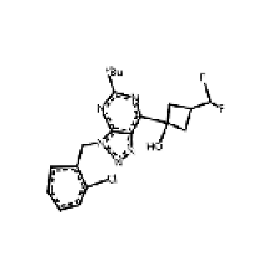 CC(C)(C)c1nc(C2(O)CC(C(F)F)C2)c2nnn(Cc3ccccc3Cl)c2n1